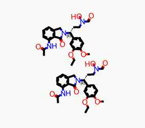 CCOc1cc([C@@H](CCN(O)C=O)N2Cc3cccc(NC(C)=O)c3C2=O)ccc1OC.CCOc1cc([C@@H](CCN(O)C=O)N2Cc3cccc(NC(C)=O)c3C2=O)ccc1OC